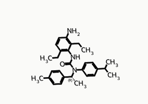 CCc1ccc(N)c(CC)c1NC(=O)N(c1ccc(C(C)C)cc1)[C@H](C)c1ccc(C)cc1